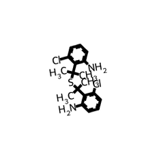 CC(C)(SC(C)(C)c1c(N)cccc1Cl)c1c(N)cccc1Cl